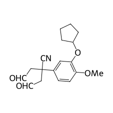 COc1ccc(C(C#N)(CC=O)CC=O)cc1OC1CCCC1